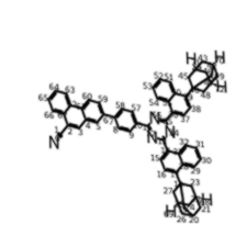 N#Cc1cc2cc(-c3ccc(-c4nc(-c5ccc(C67CC8C[C@H](C6)C[C@@H](C8)C7)c6ccccc56)nc(-c5ccc(C67C[C@H]8C[C@H](C6)C[C@@H](C7)C8)c6ccccc56)n4)cc3)ccc2c2ccccc12